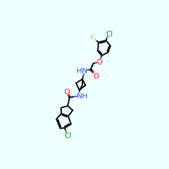 O=C(COc1ccc(Cl)c(F)c1)NC12CC(NC(=O)C3Cc4ccc(Cl)cc4C3)(C1)C2